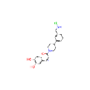 O=C(/C=C\c1ccc(O)c(O)c1)N1CCC(c2cccc(CNCl)c2)CC1